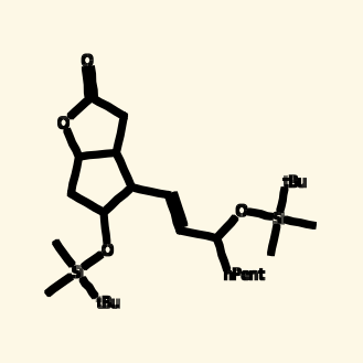 CCCCCC(C=CC1C(O[Si](C)(C)C(C)(C)C)CC2OC(=O)CC21)O[Si](C)(C)C(C)(C)C